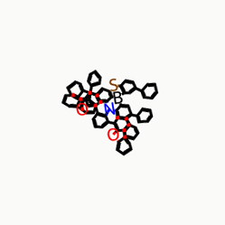 c1ccc(-c2ccc3c(c2)B2c4cc(-c5ccccc5)c(-c5ccccc5)cc4N(c4c(-c5cccc6c5oc5ccccc56)cccc4-c4cccc5c4oc4ccccc45)c4cc(C5(c6ccccc6)c6ccccc6-c6ccccc65)cc(c42)S3)cc1